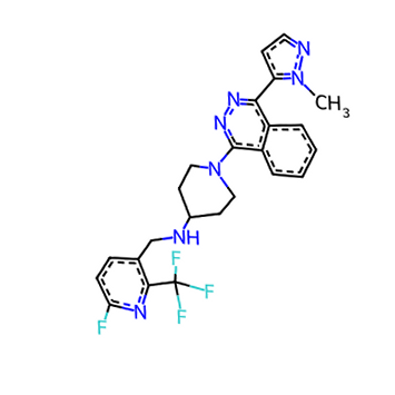 Cn1nccc1-c1nnc(N2CCC(NCc3ccc(F)nc3C(F)(F)F)CC2)c2ccccc12